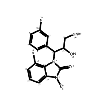 CCn1c(=O)n(C(c2cccc(F)c2)C(O)CNC)c2c(F)cccc21